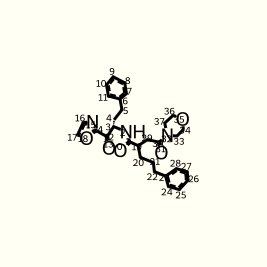 O=C(N[C@@H](CCc1ccccc1)C(=O)c1ncco1)C(CCCc1ccccc1)CC(=O)N1CCOCC1